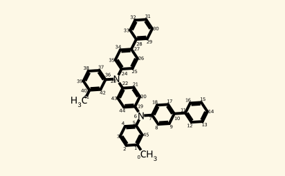 Cc1cccc(N(c2ccc(-c3ccccc3)cc2)c2ccc(N(c3ccc(-c4ccccc4)cc3)c3cccc(C)c3)cc2)c1